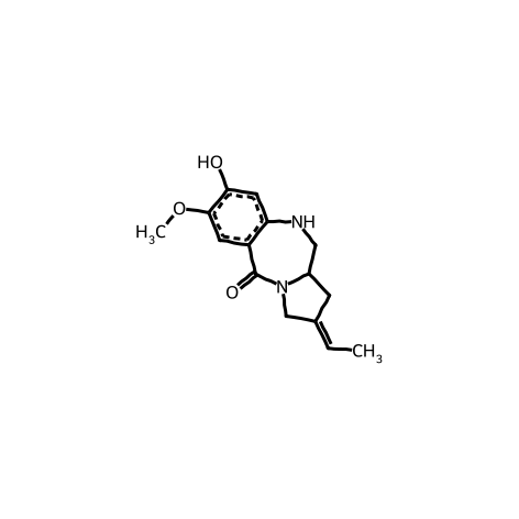 C/C=C1\CC2CNc3cc(O)c(OC)cc3C(=O)N2C1